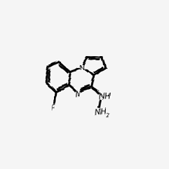 NNc1nc2c(F)cccc2n2cccc12